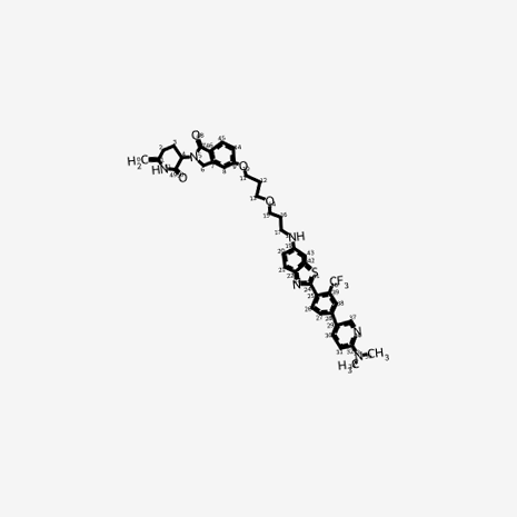 C=C1CCC(N2Cc3cc(OCCCOCCCNc4ccc5nc(-c6ccc(-c7ccc(N(C)C)nc7)cc6C(F)(F)F)sc5c4)ccc3C2=O)C(=O)N1